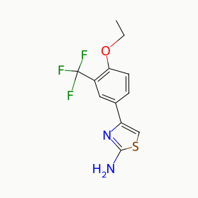 CCOc1ccc(-c2csc(N)n2)cc1C(F)(F)F